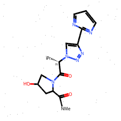 CNC(=O)C1CC(O)CN1C(=O)[C@H](C(C)C)n1cc(-c2ncccn2)nn1